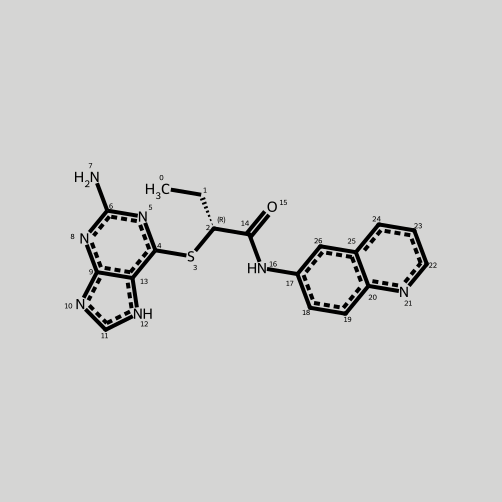 CC[C@@H](Sc1nc(N)nc2nc[nH]c12)C(=O)Nc1ccc2ncccc2c1